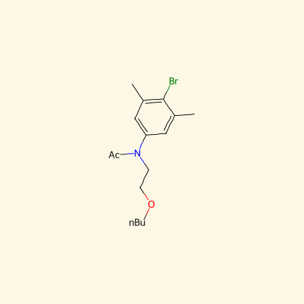 CCCCOCCN(C(C)=O)c1cc(C)c(Br)c(C)c1